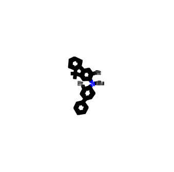 CCc1cc(-c2ccccc2)ccc1N(c1cc2c(cc1CC)-c1ccccc1C2(C)C)C(C)(C)C